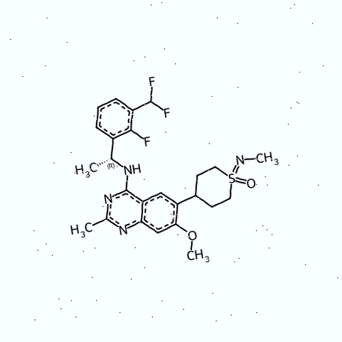 CN=S1(=O)CCC(c2cc3c(N[C@H](C)c4cccc(C(F)F)c4F)nc(C)nc3cc2OC)CC1